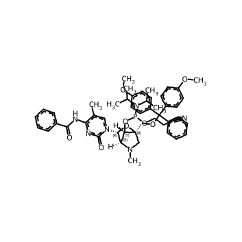 COc1ccc(C(OC[C@@]23CN(C)[C@@H]([C@H](n4cc(C)c(NC(=O)c5ccccc5)nc4=O)O2)[C@@H]3OP(OCCC#N)N(C(C)C)C(C)C)(c2ccccc2)c2ccc(OC)cc2)cc1